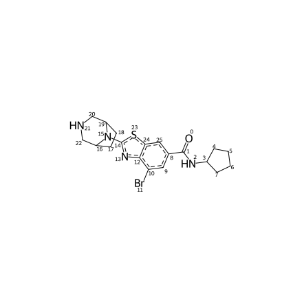 O=C(NC1CCCC1)c1cc(Br)c2nc(N3C4CCC3CNC4)sc2c1